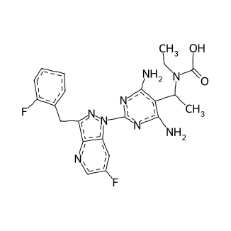 CCN(C(=O)O)C(C)c1c(N)nc(-n2nc(Cc3ccccc3F)c3ncc(F)cc32)nc1N